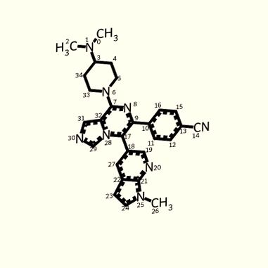 CN(C)C1CCN(c2nc(-c3ccc(C#N)cc3)c(-c3cnc4c(ccn4C)c3)n3cncc23)CC1